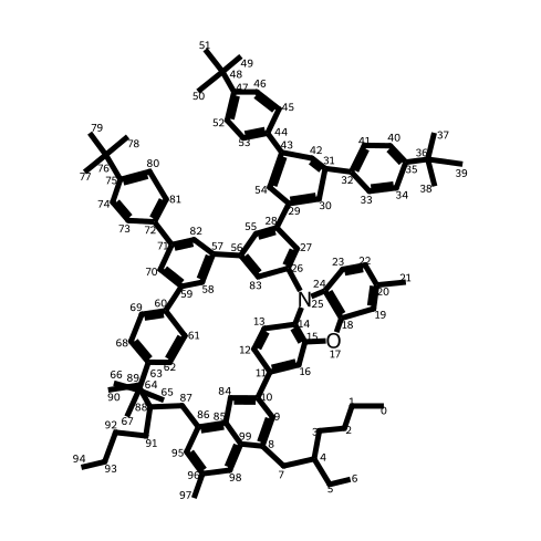 CCCCC(CC)Cc1cc(-c2ccc3c(c2)Oc2cc(C)ccc2N3c2cc(-c3cc(-c4ccc(C(C)(C)C)cc4)cc(-c4ccc(C(C)(C)C)cc4)c3)cc(-c3cc(-c4ccc(C(C)(C)C)cc4)cc(-c4ccc(C(C)(C)C)cc4)c3)c2)cc2c(CC(CC)CCCC)cc(C)cc12